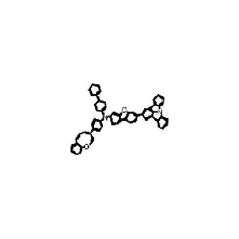 c1ccc(-c2ccc(N(c3ccc(-c4cccc5ccccc5occ4)cc3)c3ccc4c(c3)oc3cc(-c5cc6c7ccccc7n7c8ccccc8c(c5)c67)ccc34)cc2)cc1